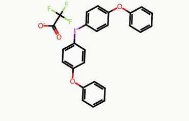 O=C([O-])C(F)(F)F.c1ccc(Oc2ccc([I+]c3ccc(Oc4ccccc4)cc3)cc2)cc1